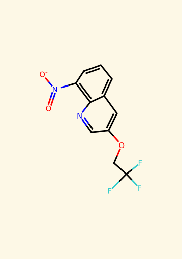 O=[N+]([O-])c1cccc2cc(OCC(F)(F)F)cnc12